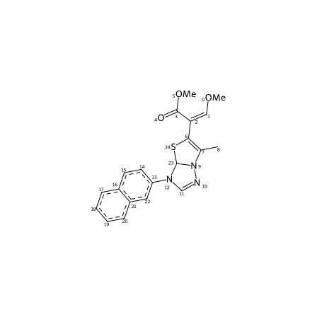 COC=C(C(=O)OC)C1=C(C)N2N=CN(c3ccc4ccccc4c3)C2S1